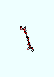 Cc1ccc(N(c2ccc3c(c2)C(C)(C)c2cc(/C=C/c4ccc5c(c4)C(C)(C)c4cc(/C=C/c6ccc7c(c6)C(C)(C)c6cc(N(c8ccc(C)cc8)c8ccc9sc%10ccccc%10c9c8)ccc6-7)ccc4-5)ccc2-3)c2ccc3sc4ccccc4c3c2)cc1